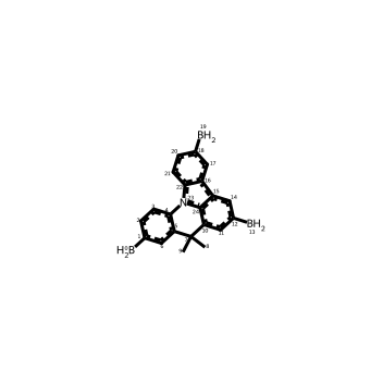 Bc1ccc2c(c1)C(C)(C)c1cc(B)cc3c4cc(B)ccc4n-2c13